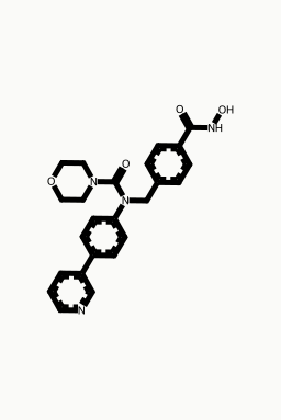 O=C(NO)c1ccc(CN(C(=O)N2CCOCC2)c2ccc(-c3cccnc3)cc2)cc1